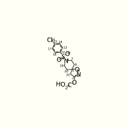 O=C(O)OC1=NOC2(CCN(S(=O)(=O)c3ccc(Cl)cc3)CC2)C1